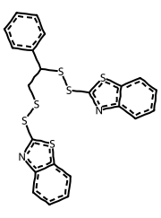 c1ccc(C(CSSc2nc3ccccc3s2)SSc2nc3ccccc3s2)cc1